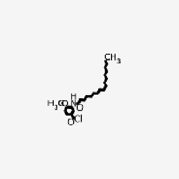 CCCCCCCC/C=C\CCCCCCCC(=O)Nc1cc(C(=O)Cl)ccc1OC